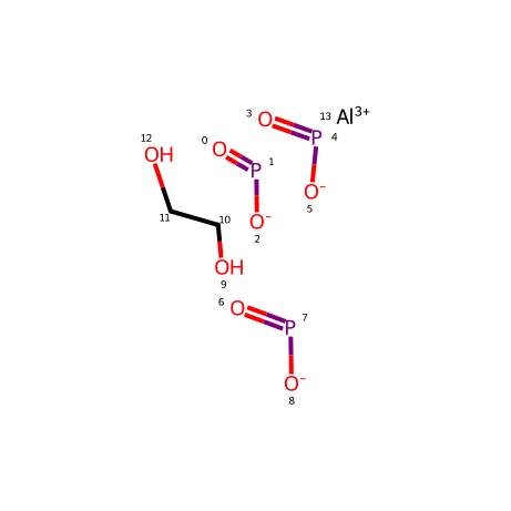 O=P[O-].O=P[O-].O=P[O-].OCCO.[Al+3]